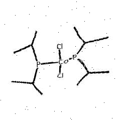 CC(C)[P](C(C)C)[Co]([Cl])([Cl])[P](C(C)C)C(C)C